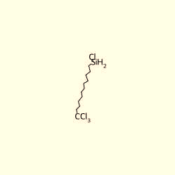 Cl[SiH2]CCCCCCCCCCCC(Cl)(Cl)Cl